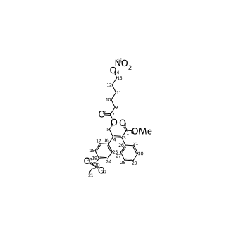 COC(=O)/C(=C(\COC(=O)CCCCCO[N+](=O)[O-])c1ccc(S(C)(=O)=O)cc1)c1ccccc1